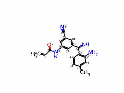 C=CC(=O)Nc1cc(C#N)cc(C(=N)c2ccc(C)cc2N)c1